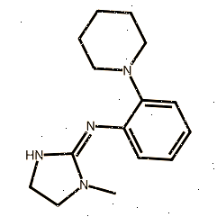 CN1CCN/C1=N/c1ccccc1N1CCCCC1